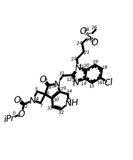 CC(C)OC(=O)N1CC2(C1)C(=O)N(Cc1nc3cc(Cl)ccc3n1CCCS(C)(=O)=O)C1=C2C=CNC1